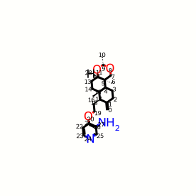 C=C1CCC2[C@]3(C)CO[C@@H](C)O[C@@H]3CC[C@@]2(C)[C@@H]1CCOc1ccncc1N